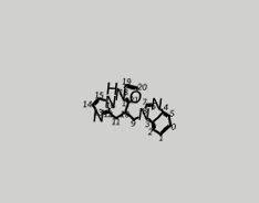 c1ccc2c(c1)ncn2CC(Cc1ncc[nH]1)c1ncco1